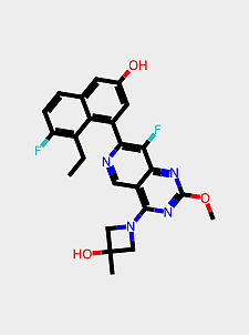 CCc1c(F)ccc2cc(O)cc(-c3ncc4c(N5CC(C)(O)C5)nc(OC)nc4c3F)c12